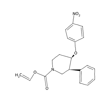 C=COC(=O)N1CC[C@@H](Oc2ccc([N+](=O)[O-])cc2)[C@@H](c2ccccc2)C1